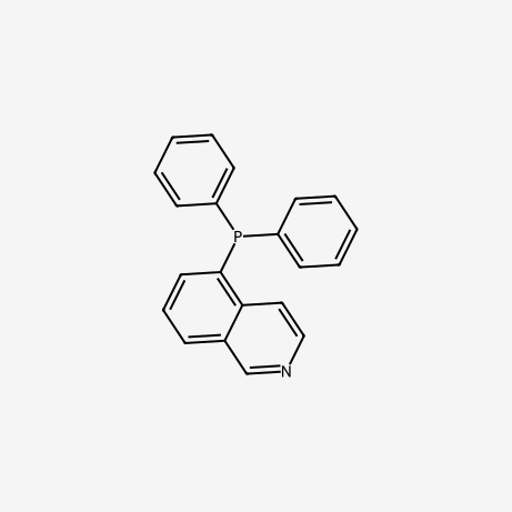 c1ccc(P(c2ccccc2)c2cccc3cnccc23)cc1